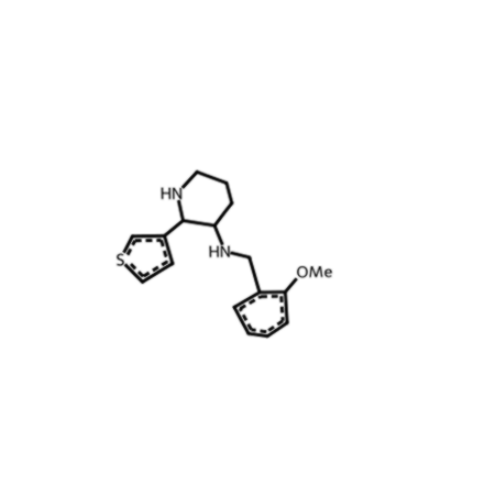 COc1ccccc1CNC1CCCNC1c1ccsc1